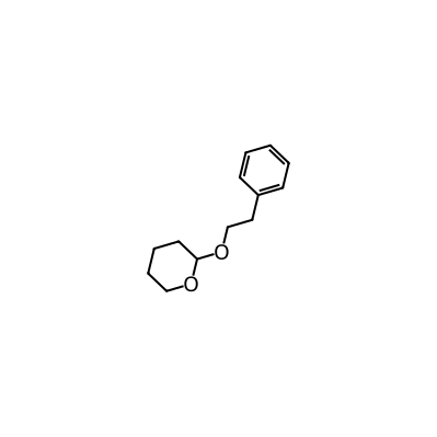 c1ccc(CCOC2CCCCO2)cc1